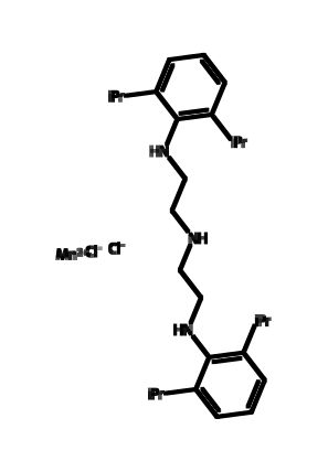 CC(C)c1cccc(C(C)C)c1NCCNCCNc1c(C(C)C)cccc1C(C)C.[Cl-].[Cl-].[Mn+2]